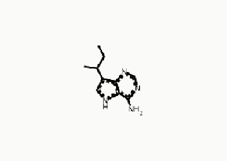 CCC(C)c1c[nH]c2c(N)ncnc12